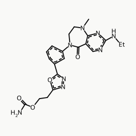 CCNc1ncc2c(n1)N(C)CCN(c1cccc(-c3nnc(CCOC(N)=O)o3)c1)C2=O